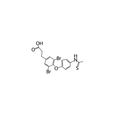 CC(=S)Nc1ccc(Oc2c(Br)cc(CCC(=O)O)cc2Br)cc1